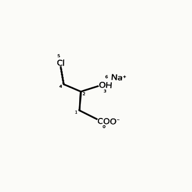 O=C([O-])CC(O)CCl.[Na+]